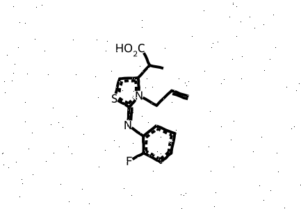 C=CCn1c(C(C)C(=O)O)cs/c1=N/c1ccccc1F